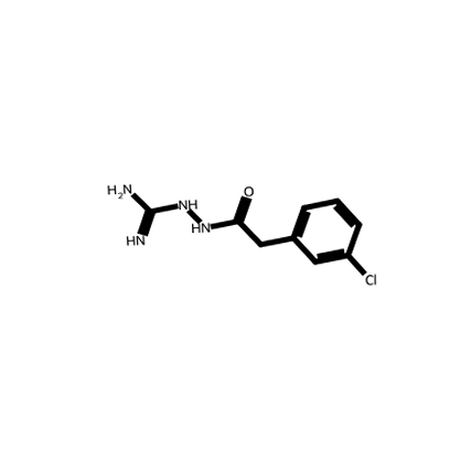 N=C(N)NNC(=O)Cc1cccc(Cl)c1